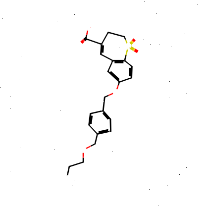 CCCOCc1ccc(COc2ccc3c(c2)C=C(C(=O)O)CCS3(=O)=O)cc1